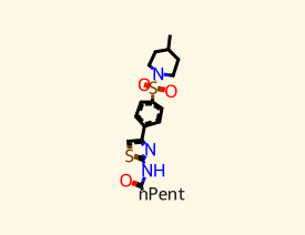 CCCCCC(=O)Nc1nc(-c2ccc(S(=O)(=O)N3CCC(C)CC3)cc2)cs1